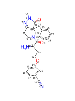 CN1N=C2CCN(C(=O)C(N)CCOc3cccc(C#N)c3)CC2(Cc2ccccc2)C1=O